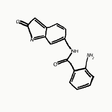 Nc1ccccc1C(=O)Nc1ccc2c(c1)=NC(=O)C=2